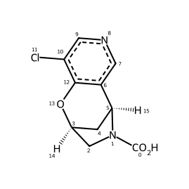 O=C(O)N1C[C@@H]2C[C@H]1c1cncc(Cl)c1O2